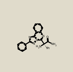 CC(C)[C@@](N)(C(N)=O)c1nc2ccccc2c2nc(-c3ccccc3)nn12